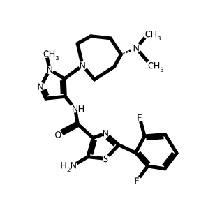 CN(C)[C@H]1CCCN(c2c(NC(=O)c3nc(-c4c(F)cccc4F)sc3N)cnn2C)CC1